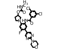 CNC(=O)OC1CCN(c2cc(F)c(-c3cnc(N4CCOCC4)nc3)cc2NC(=O)c2cc(Cl)cc(Cl)c2)C1